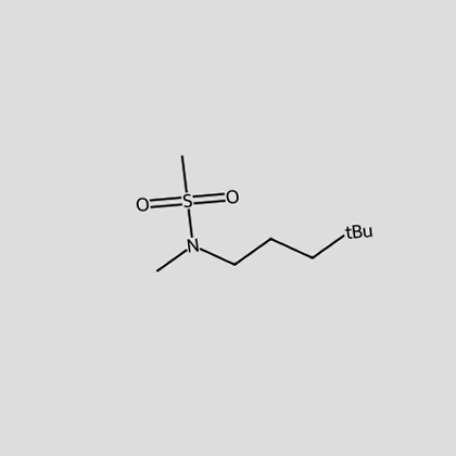 CN(CCCC(C)(C)C)S(C)(=O)=O